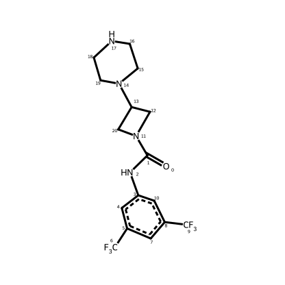 O=C(Nc1cc(C(F)(F)F)cc(C(F)(F)F)c1)N1CC(N2CCNCC2)C1